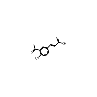 CC(=O)c1cc(C=CC(=O)O)ccc1N